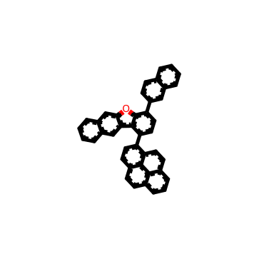 c1ccc2cc(-c3ccc(-c4ccc5ccc6cccc7ccc4c5c67)c4c3oc3cc5ccccc5cc34)ccc2c1